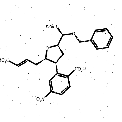 CCCCC[C@@H](OCc1ccccc1)[C@H]1C[C@@H](c2cc([N+](=O)[O-])ccc2C(=O)O)[C@@H](C/C=C/C(=O)OCC)O1